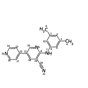 Cc1cc(C)cc(Nc2ncc(-c3ccncc3)cc2C#N)c1